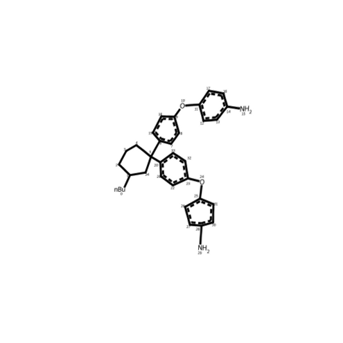 CCCCC1CCCC(c2ccc(Oc3ccc(N)cc3)cc2)(c2ccc(Oc3ccc(N)cc3)cc2)C1